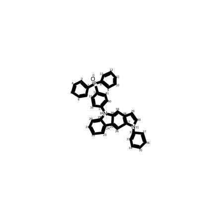 O=P(c1ccccc1)(c1ccccc1)c1ccc(-n2c3ccccc3c3cc4c(ccn4-c4ccccc4)cc32)cc1